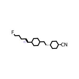 N#C[C@H]1CC[C@H](CCC2CCC(/C=C/CCCF)CC2)CC1